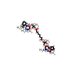 CC(ON1C(C)(C)CC2(CC1(C)C)OCC(C)(COC(=O)CCCCCCC(=O)OCC1(C)COC3(CC(C)(C)N(OC(C)c4ccccc4)C(C)(C)C3)OC1)CO2)c1ccccc1